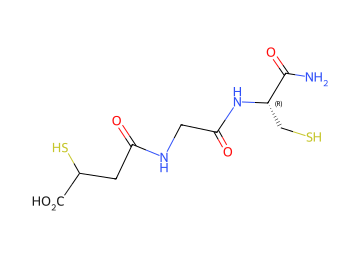 NC(=O)[C@H](CS)NC(=O)CNC(=O)CC(S)C(=O)O